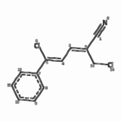 N#CC(=CC=C(Cl)c1ccccc1)CCl